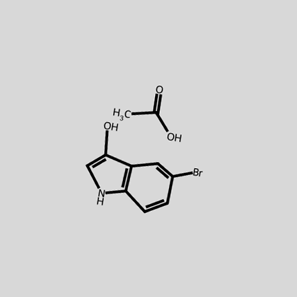 CC(=O)O.Oc1c[nH]c2ccc(Br)cc12